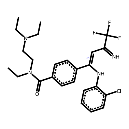 CCN(CC)CCN(CC)C(=O)c1ccc(/C(=C/C(=N)C(F)(F)F)Nc2ccccc2Cl)cc1